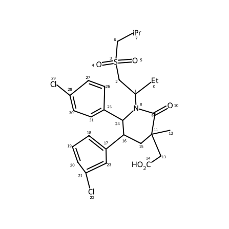 CCC(CS(=O)(=O)CC(C)C)N1C(=O)C(C)(CC(=O)O)CC(c2cccc(Cl)c2)C1c1ccc(Cl)cc1